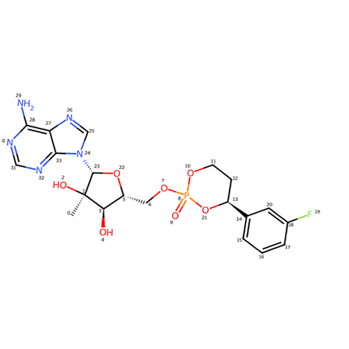 C[C@@]1(O)[C@H](O)[C@@H](COP2(=O)OCC[C@@H](c3cccc(F)c3)O2)O[C@H]1n1cnc2c(N)ncnc21